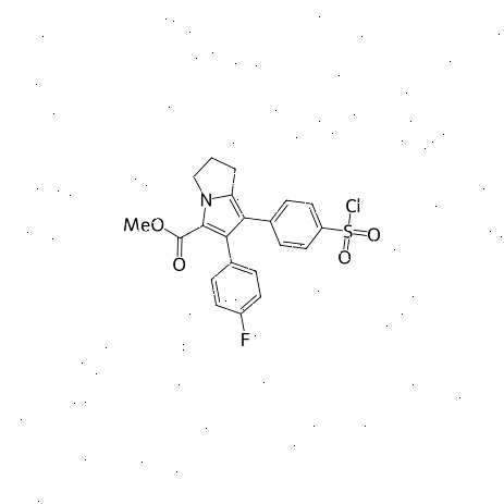 COC(=O)c1c(-c2ccc(F)cc2)c(-c2ccc(S(=O)(=O)Cl)cc2)c2n1CCC2